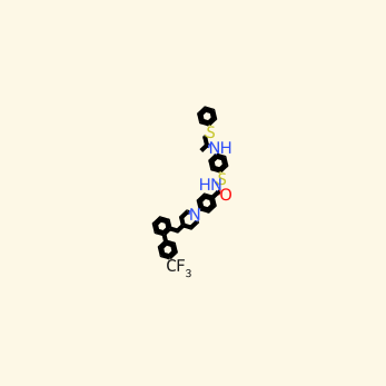 CC(CSc1ccccc1)Nc1ccc(SNC(=O)c2ccc(N3CCC(Cc4ccccc4-c4ccc(C(F)(F)F)cc4)CC3)cc2)cc1